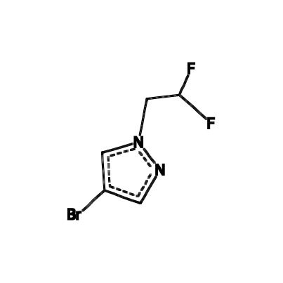 FC(F)Cn1cc(Br)cn1